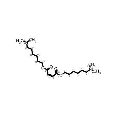 CN(C)CCCCCCOC(=O)/C=C\C(=O)OCCCCCCN(C)C